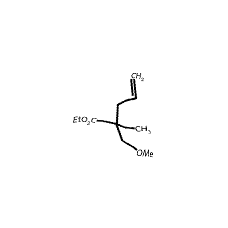 C=CCC(C)(COC)C(=O)OCC